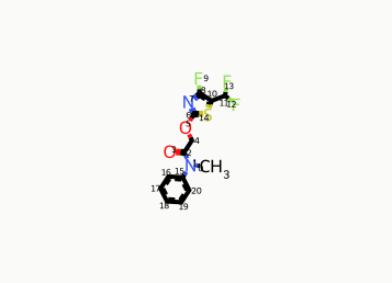 CN(C(=O)COc1nc(F)c(C(F)F)s1)c1ccccc1